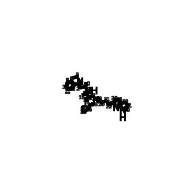 C=C(/C=C(\N=C/C)c1ccccc1)NC(C)CCN(CCCCc1ccc2c(n1)NCCC2)CC(F)COC